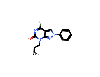 CCCn1c(=O)nc(Cl)c2cn(-c3ccccc3)nc21